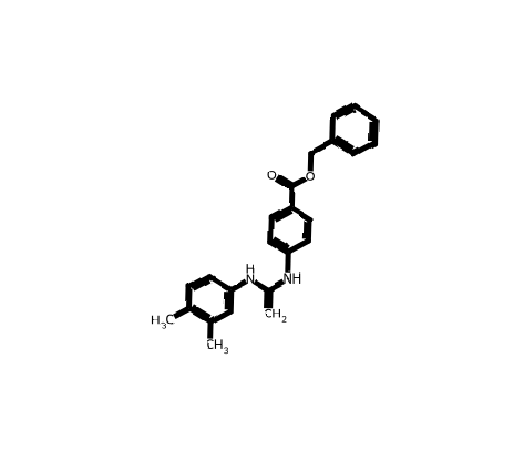 C=C(Nc1ccc(C(=O)OCc2ccccc2)cc1)Nc1ccc(C)c(C)c1